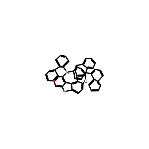 c1ccc(-c2ccccc2N(c2ccc(-c3cccc4ccccc34)cc2)c2cccc3sc4ccc5oc6c7ccccc7ccc6c5c4c23)cc1